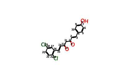 O=C(/C=C/c1ccc(O)cc1)CC(=O)/C=C/c1cc(Cl)ccc1Cl